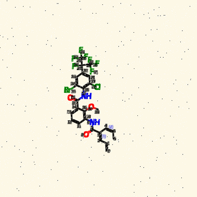 C=C/C=C(\C=C/C)C(=O)Nc1cccc(C(=O)Nc2c(Cl)cc(C(F)(C(F)(F)F)C(F)(F)F)cc2Br)c1OC